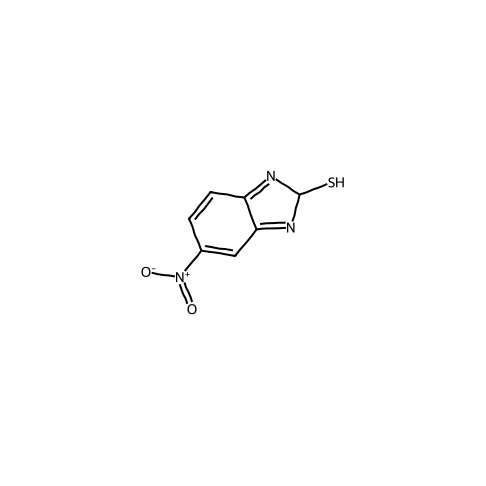 O=[N+]([O-])c1ccc2c(c1)=NC(S)N=2